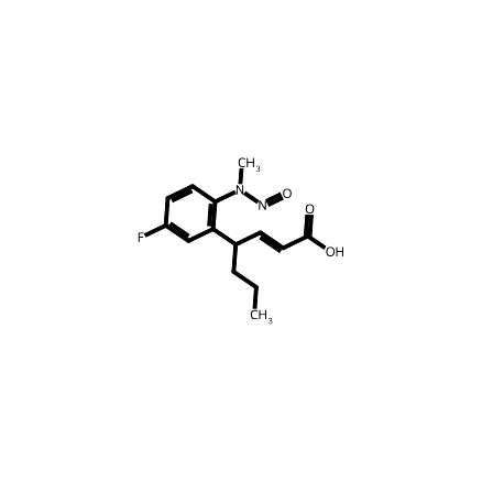 CCCC(C=CC(=O)O)c1cc(F)ccc1N(C)N=O